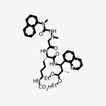 CCOC(OCC)[C@@H](C)C(NC(=O)[C@H](CCCCNC(=O)O)NC(=O)CN(C)NC(=O)N(C)c1cccc2ccccc12)c1cccc2cccnc12